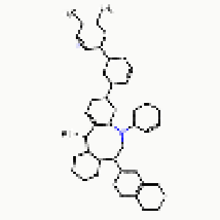 CC/C=C\C(CCC)C1CC=CC(C2CC=C3C(C)C4CCCCC4C(C4=CC5=C(CCCC5)CC4)CN(C4C=CCCC4)C3C2)C1